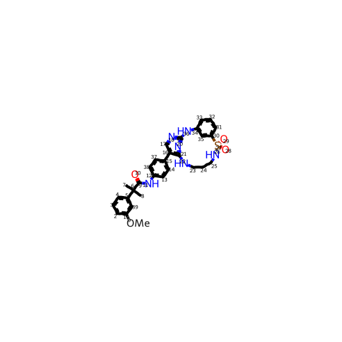 COc1cccc(C(C)(C)C(=O)Nc2ccc(-c3cnc4nc3NCCCNS(=O)(=O)c3cccc(c3)N4)cc2)c1